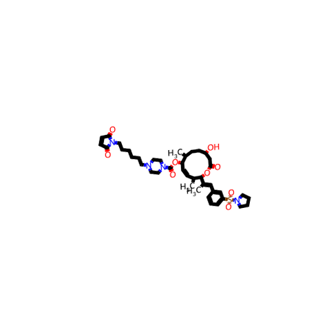 C/C(=C\c1cccc(S(=O)(=O)N2CCCC2)c1)C1OC(=O)CC(O)CCC(C)C(OC(=O)N2CCN(CCCCCCN3C(=O)C=CC3=O)CC2)C=CC1C